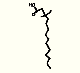 CCCCCCCCCCCC(C)(C)CC(=O)O